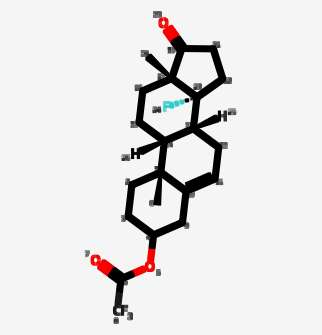 C[C@]12CCC(OC(=O)C(F)(F)F)CC1=CC[C@@H]1[C@H]2CC[C@]2(C)C(=O)CC[C@@]12F